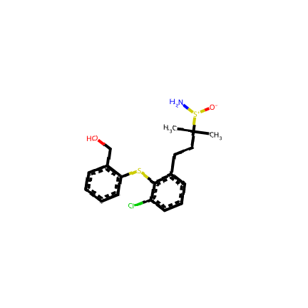 CC(C)(CCc1cccc(Cl)c1Sc1ccccc1CO)[S+](N)[O-]